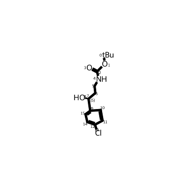 CC(C)(C)OC(=O)NCC[C@H](O)c1ccc(Cl)cc1